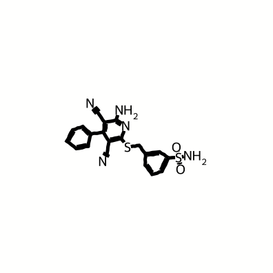 N#Cc1c(N)nc(SCc2cccc(S(N)(=O)=O)c2)c(C#N)c1-c1ccccc1